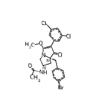 COC1=C(c2cc(Cl)cc(Cl)c2)C(=O)[C@]2(Cc3ccc(Br)cc3)C[C@H](NC(C)=O)CN12